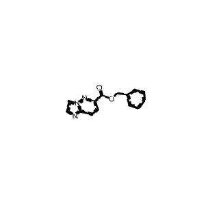 O=C(OCc1ccccc1)c1ccc2nccn2n1